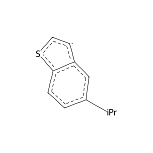 CC(C)c1ccc2sc[c]c2c1